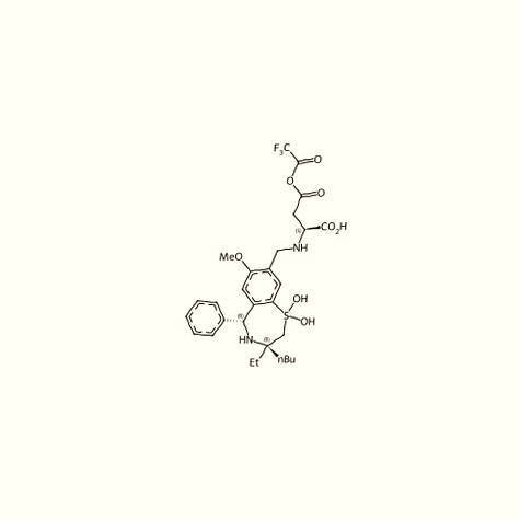 CCCC[C@]1(CC)CS(O)(O)c2cc(CN[C@@H](CC(=O)OC(=O)C(F)(F)F)C(=O)O)c(OC)cc2[C@@H](c2ccccc2)N1